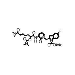 COC(=O)n1c(Cn2cccc(NC(=O)C(CC/C=C/C(=O)N(C)C)OC(=O)N(C)C)c2=O)cc2cc(F)ccc21